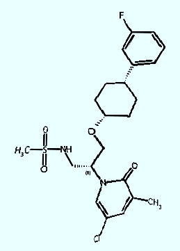 Cc1cc(Cl)cn([C@H](CNS(C)(=O)=O)CO[C@H]2CC[C@@H](c3cccc(F)c3)CC2)c1=O